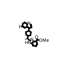 COC(=O)c1cccc2[nH]c([C@@H](C)C3CCC(c4ccnc5ccc(F)cc45)CC3)nc12